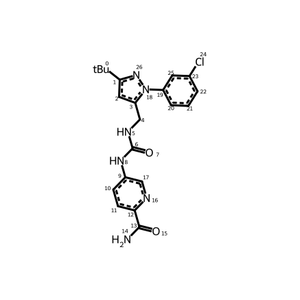 CC(C)(C)c1cc(CNC(=O)Nc2ccc(C(N)=O)nc2)n(-c2cccc(Cl)c2)n1